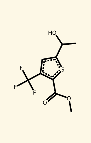 COC(=O)c1sc(C(C)O)cc1C(F)(F)F